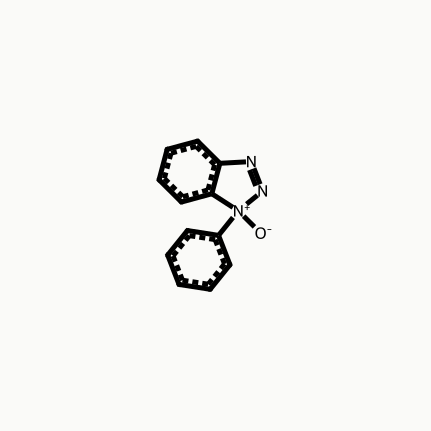 [O-][N+]1(c2ccccc2)N=Nc2ccccc21